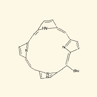 CC(C)(C)c1c2nc(cc3ccc(cc4nc(cc5ccc1[nH]5)C=C4)[nH]3)C=C2